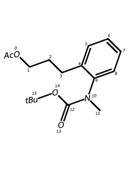 CC(=O)OCCCc1ccccc1N(C)C(=O)OC(C)(C)C